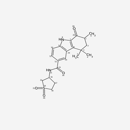 CC1CC(C)(C)c2c([nH]c3ccc(C(=O)NC4CCS(=O)(=O)C4)cc23)C1=O